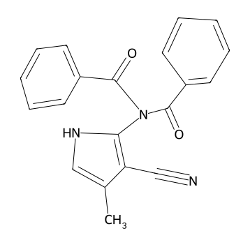 Cc1c[nH]c(N(C(=O)c2ccccc2)C(=O)c2ccccc2)c1C#N